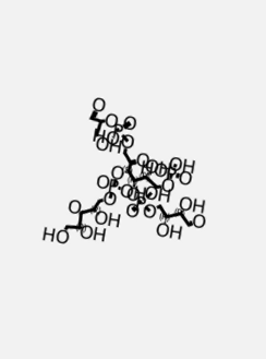 O=CC(CO)OP(=O)(O)OCC(=O)[C@@H](OP(=O)(O)OC[C@@H](O)C(=O)[C@H](O)CO)[C@H](OP(=O)(O)OC[C@@H](O)[C@@H](O)C=O)[C@H](O)COP(=O)(O)O